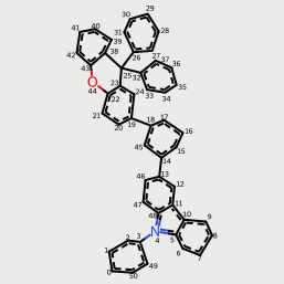 c1ccc(-n2c3ccccc3c3cc(-c4cccc(-c5ccc6c(c5)C(c5ccccc5)(c5ccccc5)c5ccccc5O6)c4)ccc32)cc1